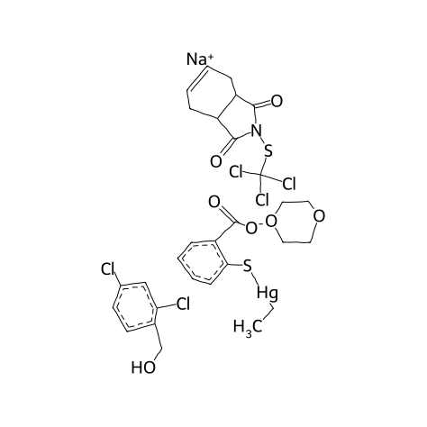 C1COCCO1.C[CH2][Hg][S]c1ccccc1C(=O)[O-].O=C1C2CC=CCC2C(=O)N1SC(Cl)(Cl)Cl.OCc1ccc(Cl)cc1Cl.[Na+]